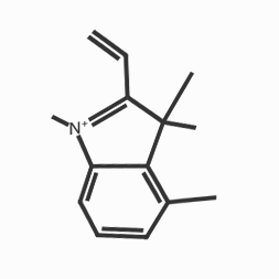 C=CC1=[N+](C)c2cccc(C)c2C1(C)C